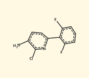 Nc1ccc(-c2c(F)cccc2F)nc1Cl